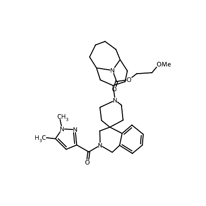 COCCOC(=O)N1C2CCCCC1CC(N1CCC3(CC1)CN(C(=O)c1cc(C)n(C)n1)Cc1ccccc13)CC2